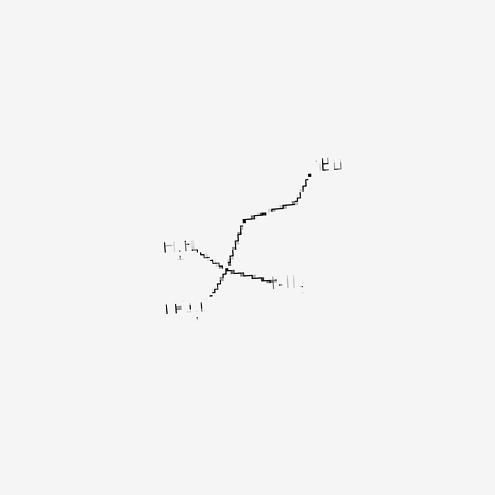 CCCCCCC(N)(N)C(=O)O